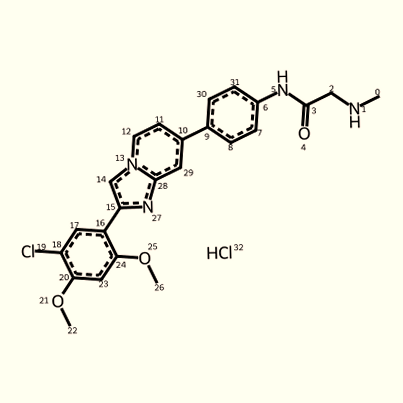 CNCC(=O)Nc1ccc(-c2ccn3cc(-c4cc(Cl)c(OC)cc4OC)nc3c2)cc1.Cl